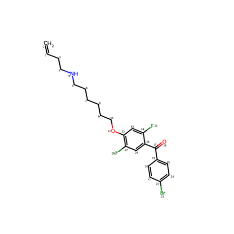 C=CCCNCCCCCCOc1cc(F)c(C(=O)c2ccc(Br)cc2)cc1F